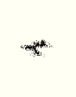 CCOc1nc(N)nc2c1ncn2[C@@H]1O[C@](F)(COP(=O)(OCOC(=O)OC(C)C)OCOC(=O)OC(C)C)[C@@H](O)[C@@H]1C